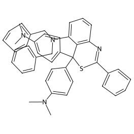 CN(C)c1ccc(C2(c3ccc(N(C)C)cc3)SC(c3ccccc3)=Nc3cccc(N(Cc4ccccc4)Cc4ccccc4)c32)cc1